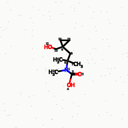 CN(C(=O)O)C(C)(C)CC1(CO)CC1